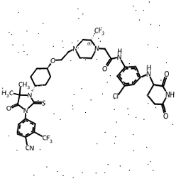 CC1(C)C(=O)N(c2ccc(C#N)c(C(F)(F)F)c2)C(=S)N1[C@H]1CC[C@H](OCCN2CCN(CC(=O)Nc3cc(Cl)cc(NC4CCC(=O)NC4=O)c3)[C@@H](C(F)(F)F)C2)CC1